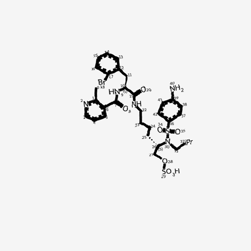 Cc1ncccc1C(=O)N[C@@H](Cc1ccccc1Br)C(=O)NCCCC[C@@H](COS(=O)(=O)O)N(CC(C)C)S(=O)(=O)c1ccc(N)cc1